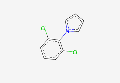 Clc1cccc(Cl)c1-n1cccc1